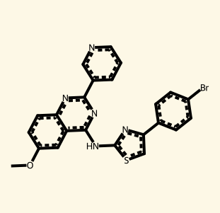 COc1ccc2nc(-c3cccnc3)nc(Nc3nc(-c4ccc(Br)cc4)cs3)c2c1